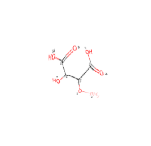 BOC(C(=O)O)C(O)C(=O)O